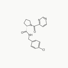 O=C(NCc1ccc(Cl)cc1)[C@@H]1CCCN1C(=O)c1ccncn1